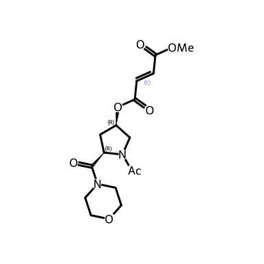 COC(=O)/C=C/C(=O)O[C@@H]1C[C@H](C(=O)N2CCOCC2)N(C(C)=O)C1